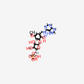 COc1cc(CNc2ncnc3nc[nH]c23)c(O)c(OC2O[C@H](COP(=O)(O)O)[C@@H](O)[C@H]2O)c1